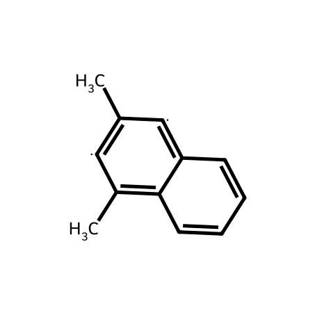 Cc1[c]c(C)c2ccccc2[c]1